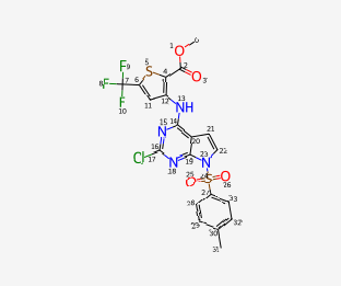 COC(=O)c1sc(C(F)(F)F)cc1Nc1nc(Cl)nc2c1ccn2S(=O)(=O)c1ccc(C)cc1